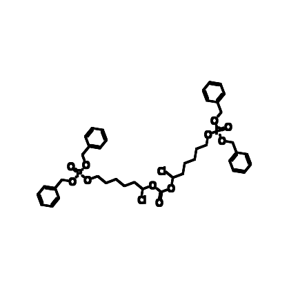 O=C(OC(Cl)CCCCCOP(=O)(OCc1ccccc1)OCc1ccccc1)OC(Cl)CCCCCOP(=O)(OCc1ccccc1)OCc1ccccc1